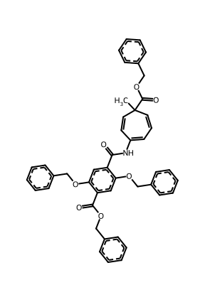 CC1(C(=O)OCc2ccccc2)C=CC=C(NC(=O)c2cc(OCc3ccccc3)c(C(=O)OCc3ccccc3)cc2OCc2ccccc2)C=C1